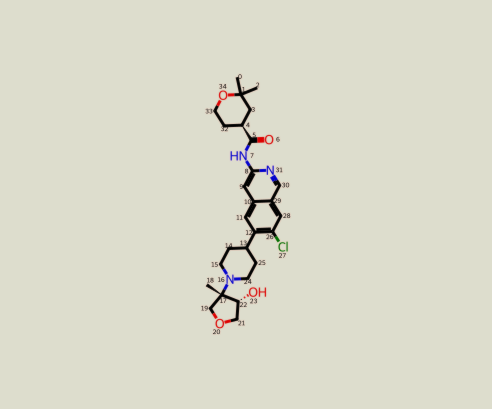 CC1(C)C[C@@H](C(=O)Nc2cc3cc(C4CCN([C@@]5(C)COC[C@H]5O)CC4)c(Cl)cc3cn2)CCO1